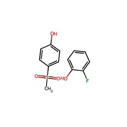 CS(=O)(=O)c1ccc(O)cc1.Oc1ccccc1F